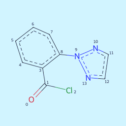 O=C(Cl)c1ccccc1-n1nccn1